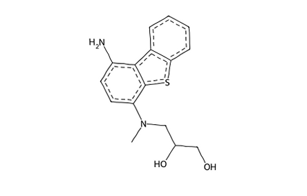 CN(CC(O)CO)c1ccc(N)c2c1sc1ccccc12